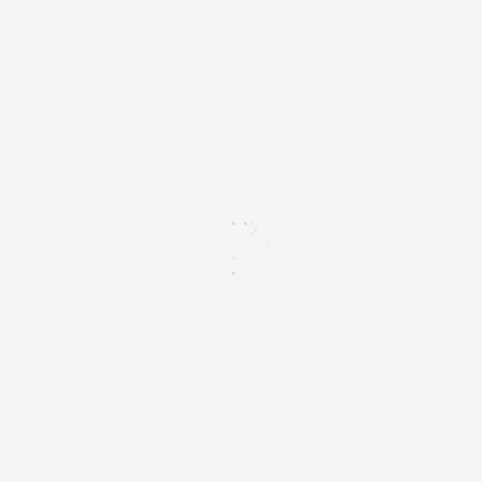 C1=NN=N1